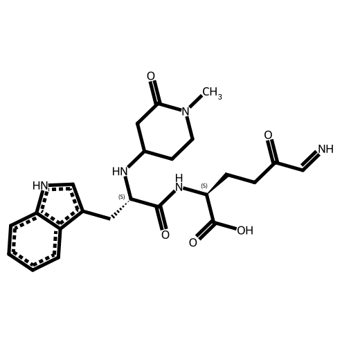 CN1CCC(N[C@@H](Cc2c[nH]c3ccccc23)C(=O)N[C@@H](CCC(=O)C=N)C(=O)O)CC1=O